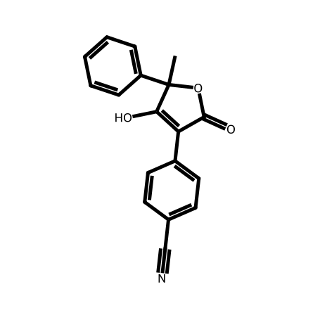 CC1(c2ccccc2)OC(=O)C(c2ccc(C#N)cc2)=C1O